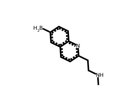 Bc1ccc2nc(CCNC)ccc2c1